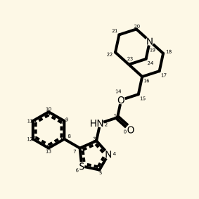 O=C(Nc1ncsc1-c1ccccc1)OCC1CCN2CCCC1C2